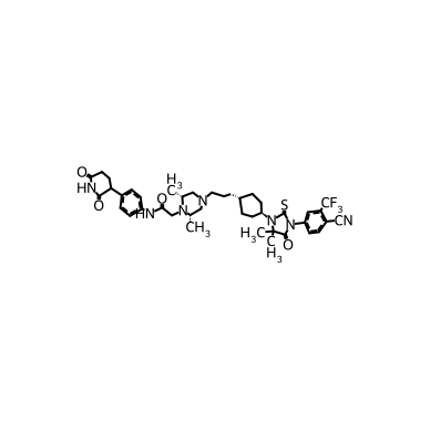 C[C@@H]1CN(CCC[C@H]2CC[C@H](N3C(=S)N(c4ccc(C#N)c(C(F)(F)F)c4)C(=O)C3(C)C)CC2)C[C@H](C)N1CC(=O)Nc1ccc(C2CCC(=O)NC2=O)cc1